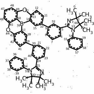 CC1(C)N=C(c2cccc(-c3ccc4c(c3)B3c5cc(-c6cccc(C7=NC(C)(C)C(C)(C)N7c7ccccc7)c6)ccc5Oc5cccc(c53)O4)c2)N(c2ccccc2)C1(C)C